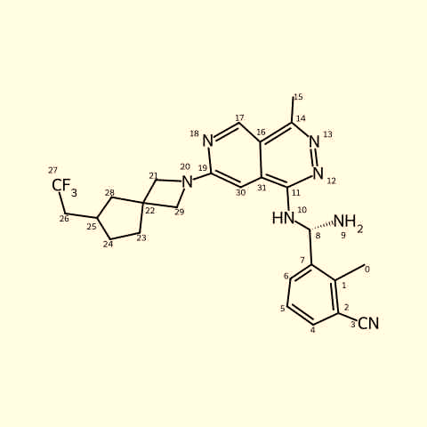 Cc1c(C#N)cccc1[C@@H](N)Nc1nnc(C)c2cnc(N3CC4(CCC(CC(F)(F)F)C4)C3)cc12